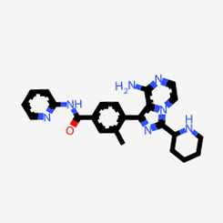 Cc1cc(C(=O)Nc2ccccn2)ccc1-c1nc(C2CCCCN2)n2ccnc(N)c12